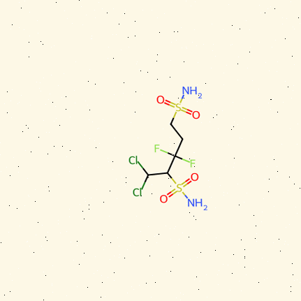 NS(=O)(=O)CCC(F)(F)C([C](Cl)Cl)S(N)(=O)=O